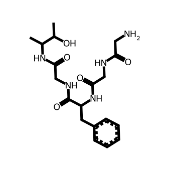 CC(O)C(C)NC(=O)CNC(=O)C(Cc1ccccc1)NC(=O)CNC(=O)CN